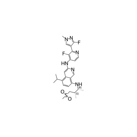 CC(C)c1ccc(N[C@H](C)[C@H](C)CS(C)(=O)=O)c2cnc(Nc3ccnc(-c4cn(C)nc4F)c3F)cc12